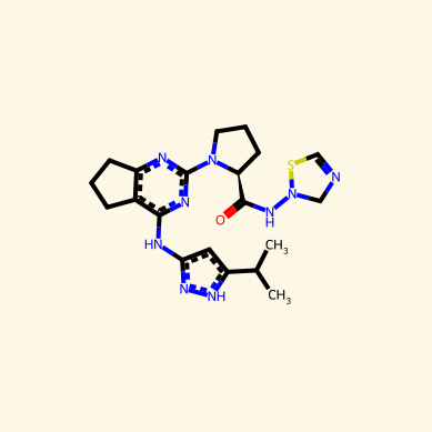 CC(C)c1cc(Nc2nc(N3CCC[C@H]3C(=O)NN3CN=CS3)nc3c2CCC3)n[nH]1